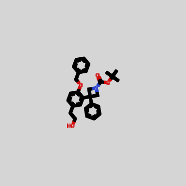 CC(C)(C)OC(=O)N1CC(c2ccccc2)(c2cc(CCO)ccc2OCc2ccccc2)C1